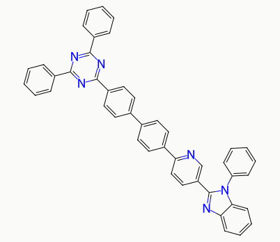 c1ccc(-c2nc(-c3ccccc3)nc(-c3ccc(-c4ccc(-c5ccc(-c6nc7ccccc7n6-c6ccccc6)cn5)cc4)cc3)n2)cc1